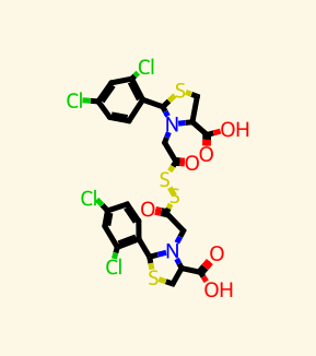 O=C(CN1C(C(=O)O)CSC1c1ccc(Cl)cc1Cl)SSC(=O)CN1C(C(=O)O)CSC1c1ccc(Cl)cc1Cl